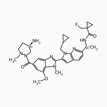 COc1cc(C(=O)N2C[C@H](N)CCN2C)cc2nc(-c3cc4ccc([C@@H](C)NC(=O)C5(CF)CC5)nc4n3CC3CC3)n(C)c12